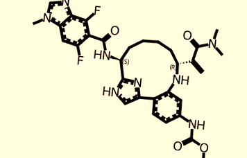 C=C(C(=O)N(C)C)[C@H]1CCCC[C@H](NC(=O)c2c(F)cc3c(ncn3C)c2F)c2nc(c[nH]2)-c2ccc(NC(=O)OC)cc2N1